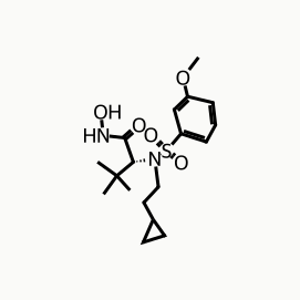 COc1cccc(S(=O)(=O)N(CCC2CC2)[C@@H](C(=O)NO)C(C)(C)C)c1